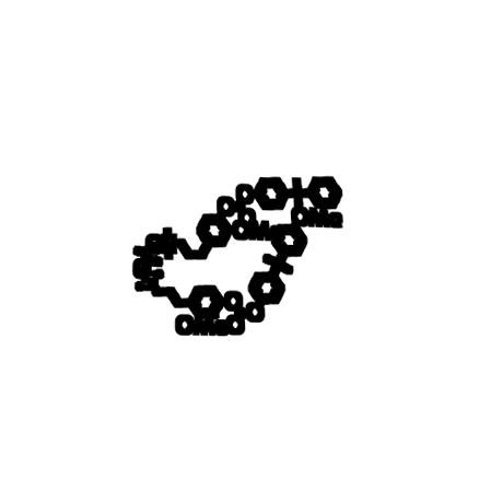 COc1ccc(C(C)(C)c2ccc(OC(=O)Oc3ccc(CCC[Si](C)(C)O[Si](C)(C)O[Si](C)(C)CCCc4ccc(OC(=O)Oc5ccc(C(C)(C)c6ccccc6)cc5)c(OC)c4)cc3OC)cc2)cc1